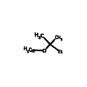 CCC(C)(C)[O][GeH3]